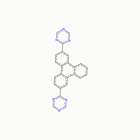 c1ccc2c(c1)c1cc(-c3ncncn3)ccc1c1ccc(-c3ncncn3)cc21